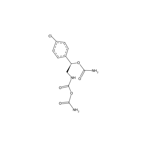 NC(=O)OC(=O)NC[C@H](OC(N)=O)c1ccc(Cl)cc1